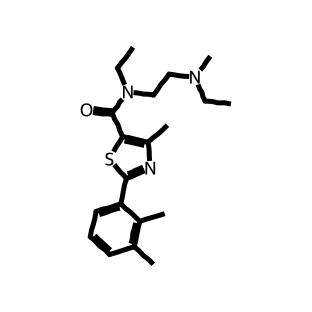 CCN(C)CCN(CC)C(=O)c1sc(-c2cccc(C)c2C)nc1C